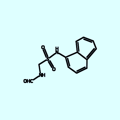 O=CNCS(=O)(=O)Nc1cccc2ccccc12